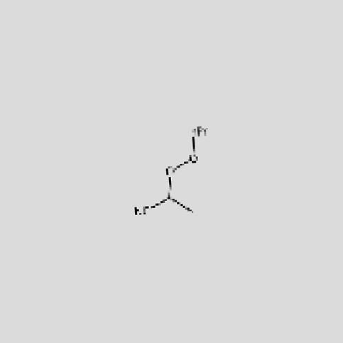 CCCOOC(C)C#N